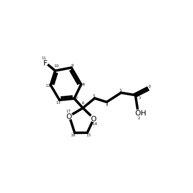 C=C(O)CCCC1(c2ccc(F)cc2)OCCO1